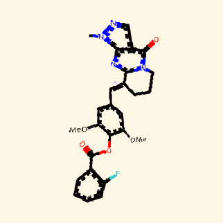 COc1cc(/C=C2\CCCn3c2nc2c(cnn2C)c3=O)cc(OC)c1OC(=O)c1ccccc1F